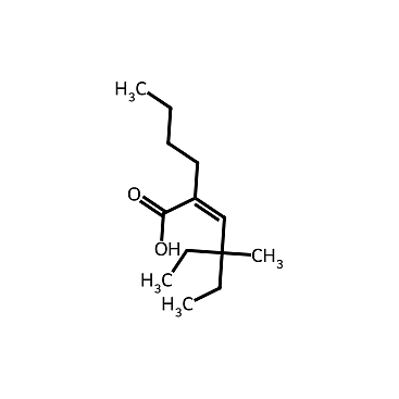 CCCCC(=CC(C)(CC)CC)C(=O)O